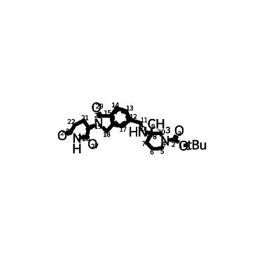 CC(C)(C)OC(=O)N1CCC[C@](C)(NCc2ccc3c(c2)CN(C2CCC(=O)NC2=O)C3=O)C1